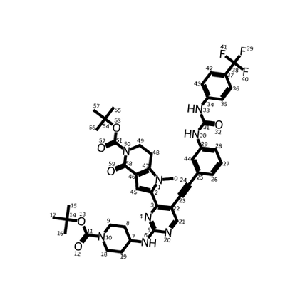 Cn1c(-c2nc(NC3CCN(C(=O)OC(C)(C)C)CC3)ncc2C#Cc2cccc(NC(=O)Nc3ccc(C(F)(F)F)cc3)c2)cc2c1CCN(C(=O)OC(C)(C)C)C2=O